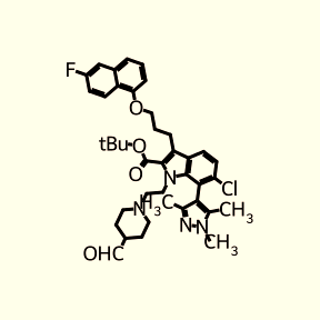 Cc1nn(C)c(C)c1-c1c(Cl)ccc2c(CCCOc3cccc4cc(F)ccc34)c(C(=O)OC(C)(C)C)n(CCN3CCC(C=O)CC3)c12